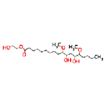 CCCCC(OC)C(O)CC(O)C(CCCCCCCCC(=O)OCCO)OC